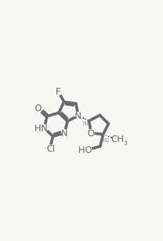 C[C@@]1(CO)CC[C@@H](n2cc(F)c3c(=O)[nH]c(Cl)nc32)O1